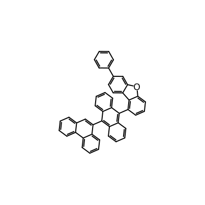 c1ccc(-c2ccc3c(c2)oc2cccc(-c4c5ccccc5c(-c5cc6ccccc6c6ccccc56)c5ccccc45)c23)cc1